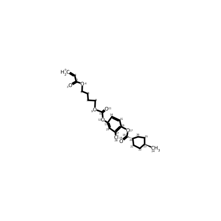 C=CC(=O)OCCCCOC(=O)Oc1ccc(OC(=O)[C@H]2CC[C@H](C)CC2)c(Cl)c1